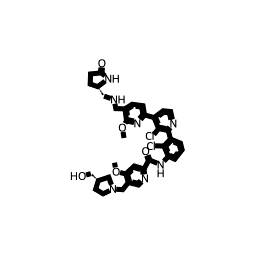 COc1cc(C(=O)Nc2cccc(-c3nccc(-c4ccc(CNC[C@@H]5CCC(=O)N5)c(OC)n4)c3Cl)c2Cl)ncc1CN1CC[C@H](CO)C1